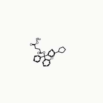 CC(C)(C)OC(=O)CCC(=O)OC(c1ccccc1)(c1ccc(C2CCCCC2)cc1)c1ccccc1Cl